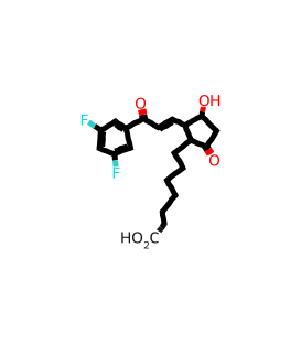 O=C(O)CCCCCCC1C(=O)CC(O)C1/C=C/C(=O)c1cc(F)cc(F)c1